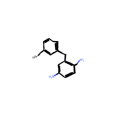 CCCc1cccc(Cc2cc(N)ccc2N)c1